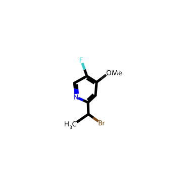 COc1cc(C(C)Br)ncc1F